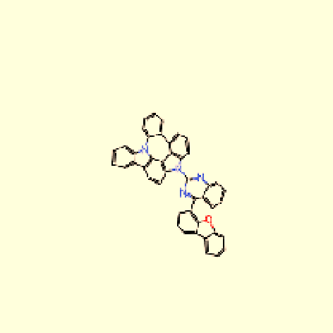 c1ccc2c(-c3cccc4c3oc3ccccc34)nc(-n3c4cccc5c6ccccc6n6c7ccccc7c7ccc3c(c54)c76)nc2c1